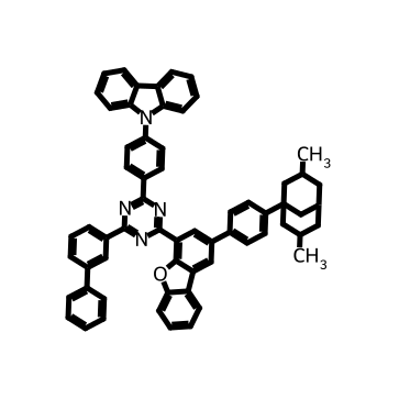 CC1CC2CC(C)CC(c3ccc(-c4cc(-c5nc(-c6ccc(-n7c8ccccc8c8ccccc87)cc6)nc(-c6cccc(-c7ccccc7)c6)n5)c5oc6ccccc6c5c4)cc3)(C1)C2